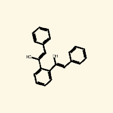 OC(=Cc1ccccc1)c1ccccc1C(O)=Cc1ccccc1